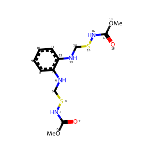 COC(=O)NSCNc1ccccc1NCSNC(=O)OC